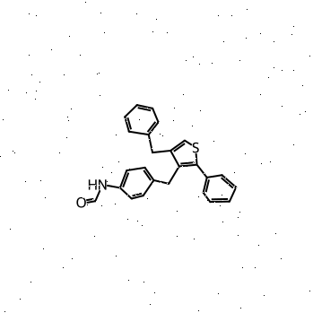 O=CNc1ccc(Cc2c(Cc3ccccc3)csc2-c2ccccc2)cc1